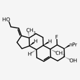 CCC[C@@H]1C(F)[C@@]2(C)C(=CC[C@H]3[C@@H]4CC/C(=C\CO)[C@@]4(C)CC[C@@H]32)C[C@H]1O